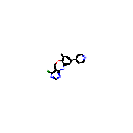 Cc1cc(C2CCNCC2)cc2c1OCc1c(Cl)ncnc1N2